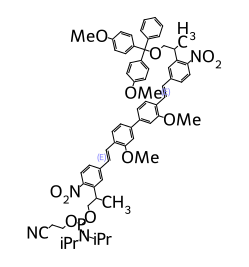 COc1ccc(C(OCC(C)c2cc(/C=C/c3ccc(-c4ccc(/C=C/c5ccc([N+](=O)[O-])c(C(C)COP(OCCC#N)N(C(C)C)C(C)C)c5)c(OC)c4)cc3OC)ccc2[N+](=O)[O-])(c2ccccc2)c2ccc(OC)cc2)cc1